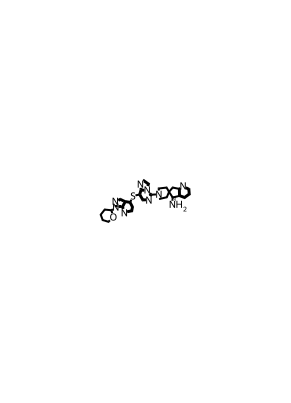 N[C@@H]1c2cccnc2CC12CCN(c1ncc(Sc3ccnc4c3cnn4C3CCCCO3)c3nccn13)CC2